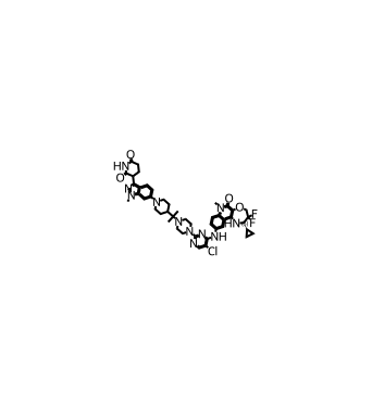 Cn1nc(C2CCC(=O)NC2=O)c2ccc(N3CCC(C(C)(C)N4CCN(c5ncc(Cl)c(Nc6ccc7c(c6)c6c(c(=O)n7C)OCC(F)(F)[C@H](C7CC7)N6)n5)CC4)CC3)cc21